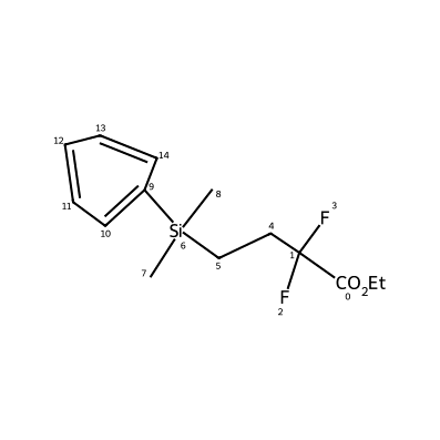 CCOC(=O)C(F)(F)CC[Si](C)(C)c1ccccc1